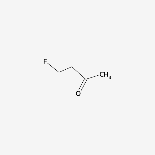 CC(=O)CCF